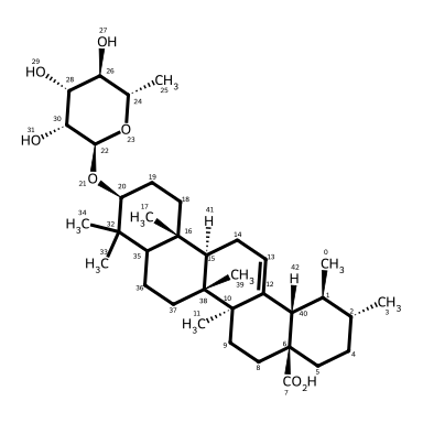 C[C@H]1[C@H](C)CC[C@]2(C(=O)O)CC[C@]3(C)C(=CC[C@@H]4[C@@]5(C)CC[C@H](O[C@@H]6O[C@@H](C)[C@H](O)[C@@H](O)[C@H]6O)C(C)(C)C5CC[C@]43C)[C@H]12